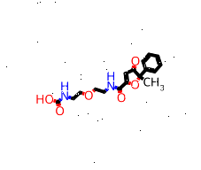 CC1(c2ccccc2)OC(C(=O)NCCOCCNC(=O)O)=CC1=O